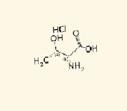 C[C@H](O)[C@@H](N)C(=O)O.Cl